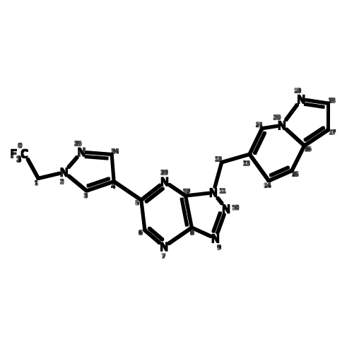 FC(F)(F)Cn1cc(-c2cnc3nnn(Cc4ccc5ccnn5c4)c3n2)cn1